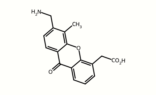 Cc1c(CN)ccc2c(=O)c3cccc(CC(=O)O)c3oc12